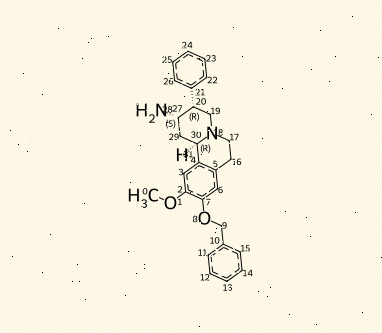 COc1cc2c(cc1OCc1ccccc1)CCN1C[C@@H](c3ccccc3)[C@@H](N)C[C@H]21